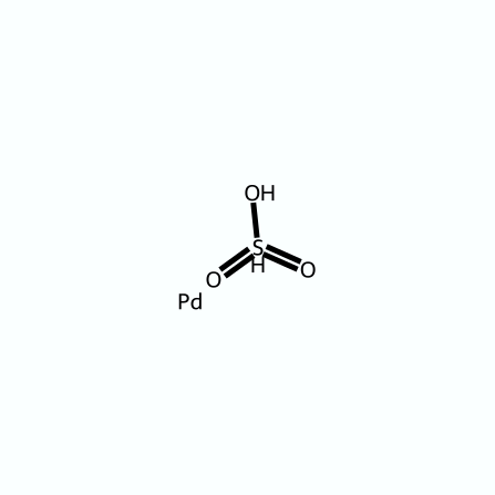 O=[SH](=O)O.[Pd]